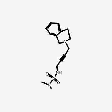 CN(C)S(=O)(=O)NCC#CCN1CCc2ccccc2C1